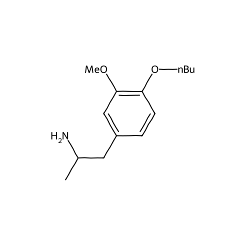 CCCCOc1ccc(CC(C)N)cc1OC